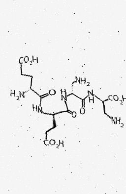 NC[C@@H](NC(=O)[C@@H](CN)NC(=O)[C@@H](CCC(=O)O)NC(=O)[C@H](N)CCC(=O)O)C(=O)O